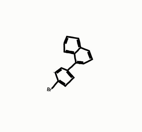 Brc1[c]cc(-c2cccc3ccccc23)cc1